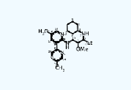 CCC(NC1CCCCC1)C(CNc1ncc(C)cc1-c1cnc(C)cn1)OC